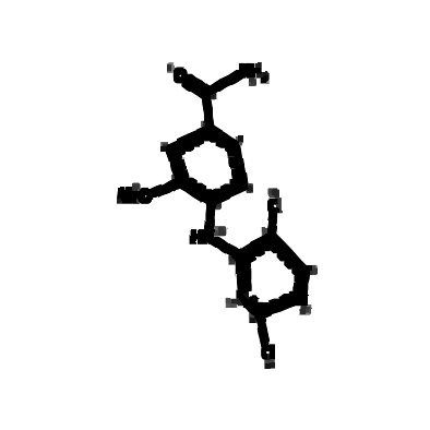 COc1cc(C(N)=O)ccc1Nc1nc(Cl)ncc1Cl